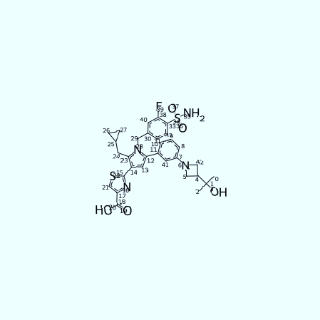 CC(C)(O)C1CN(c2cccc(-c3cc(-c4nc(C(=O)O)cs4)c(CC4CC4)n3Cc3ccc(S(N)(=O)=O)c(F)c3)c2)C1